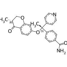 C[C@@H]1COc2cc(O[C@](C)(c3ccncc3)c3ccc(C(N)=O)cc3)ccc2C1=O